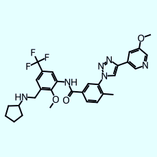 COc1cncc(-c2cn(-c3cc(C(=O)Nc4cc(C(F)(F)F)cc(CNC5CCCC5)c4OC)ccc3C)nn2)c1